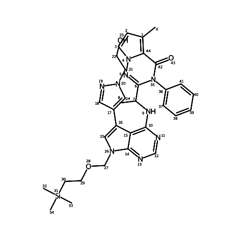 Cc1ccn2nc(C(C)Nc3ncnc4c3c(-c3cnn(CCO)c3)cn4COCC[Si](C)(C)C)n(-c3ccccc3)c(=O)c12